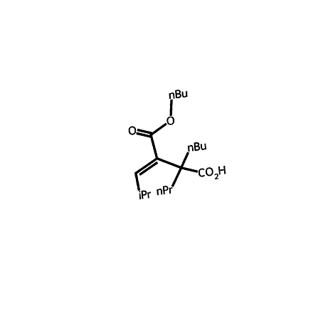 CCCCOC(=O)C(=CC(C)C)C(CCC)(CCCC)C(=O)O